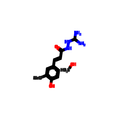 COc1cc(C=CC(=O)NNC(N)N)ccc1O.O=S(=O)(O)O